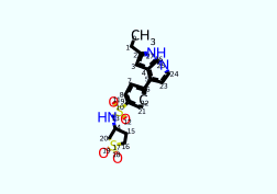 CCc1cc2c(-c3ccc(S(=O)(=O)NC4CCS(=O)(=O)C4)cc3)ccnc2[nH]1